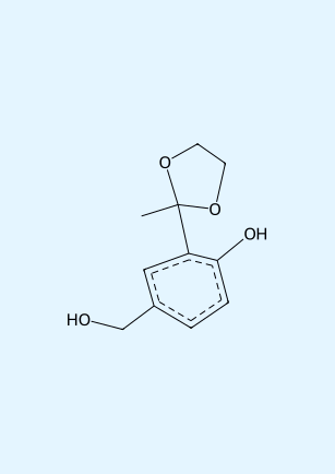 CC1(c2cc(CO)ccc2O)OCCO1